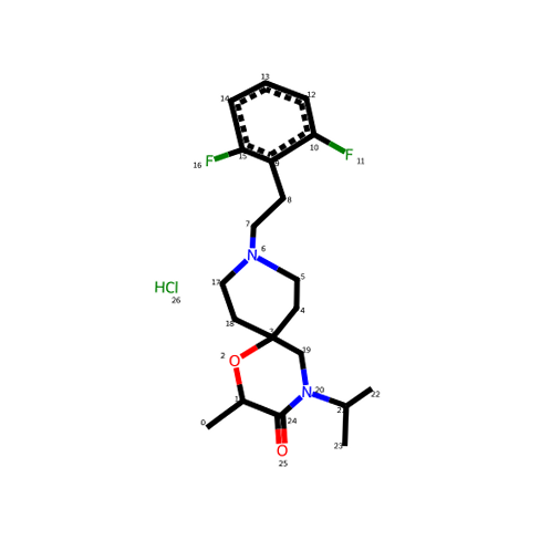 CC1OC2(CCN(CCc3c(F)cccc3F)CC2)CN(C(C)C)C1=O.Cl